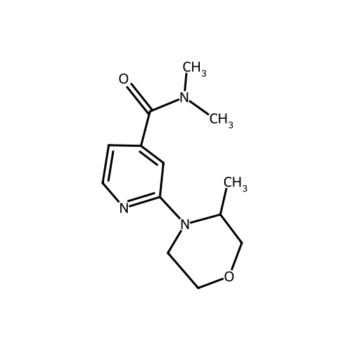 CC1COCCN1c1cc(C(=O)N(C)C)ccn1